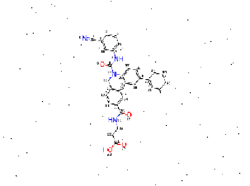 N#Cc1cccc(NC(=O)N(Cc2ccc(C(=O)NCCC(=O)O)cc2)c2ccc(C3=CCCCC3)cc2)c1